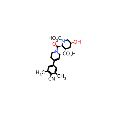 Cc1cc(C2=CCN(C(=O)[C@@H]3[C@@H](C(=O)O)C[C@@H](O)CN3C(=O)O)CC2)cc(C)c1C#N